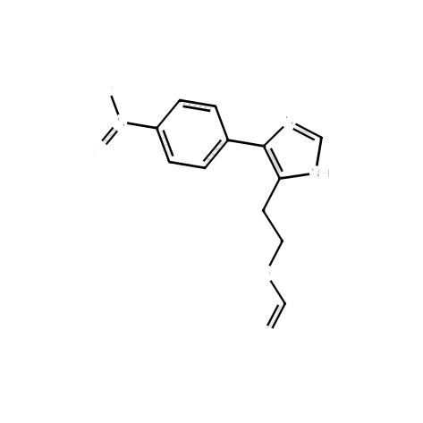 O=COCCc1[nH]cnc1-c1ccc([N+](=O)[O-])cc1